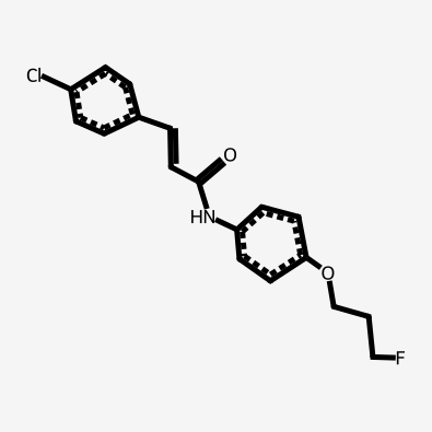 O=C(/C=C/c1ccc(Cl)cc1)Nc1ccc(OCCCF)cc1